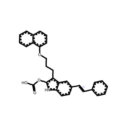 O=C(O)Oc1[nH]c2ccc(/C=C/c3ccccc3)cc2c1CCCOc1cccc2ccccc12